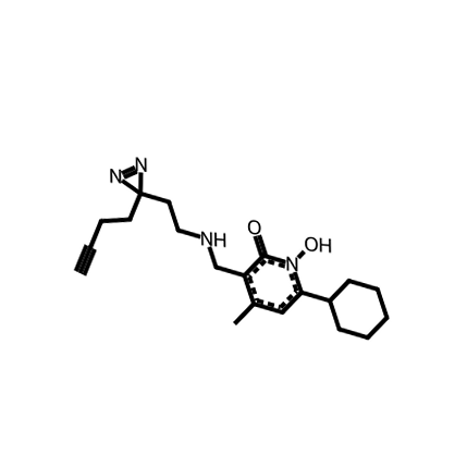 C#CCCC1(CCNCc2c(C)cc(C3CCCCC3)n(O)c2=O)N=N1